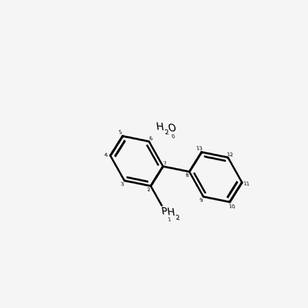 O.Pc1ccccc1-c1ccccc1